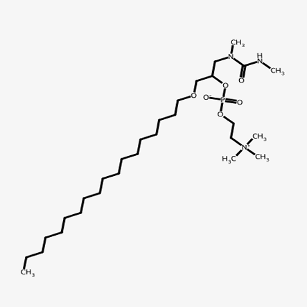 CCCCCCCCCCCCCCCCCCOCC(CN(C)C(=O)NC)OP(=O)([O-])OCC[N+](C)(C)C